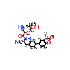 CCC[C@@]1(O)CNC[C@@H](C(=O)N[C@H](C#N)Cc2ccc(-c3ccc4oc(=O)n(C)c4c3)cc2)OC1